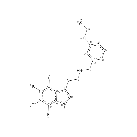 Fc1c(F)c(F)c2c(CCNCc3cccc(OCC(F)(F)F)c3)c[nH]c2c1F